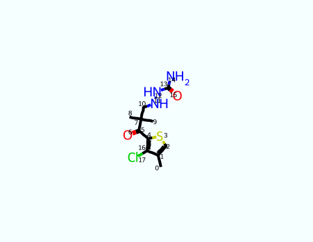 Cc1csc(C(=O)C(C)(C)CNNC(N)=O)c1Cl